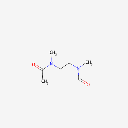 CC(=O)N(C)CCN(C)C=O